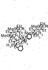 CCC(SSC(CC)[Si](C)(C)OC)[Si](C)(C)OC.CCC(SSC(CC)[Si](C)(C)OC)[Si](C)(C)OC.CCC(SSC(CC)[Si](C)(C)OC1CCCCC1)[Si](C)(C)OC1CCCCC1